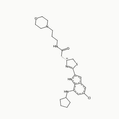 O=C(C[C@@H]1CSC(c2cc3cc(Cl)cc(NC4CCCC4)c3[nH]2)=N1)NCCCN1CCOCC1